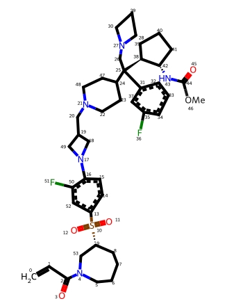 C=CC(=O)N1CCCC[C@@H](S(=O)(=O)c2ccc(N3CC(CN4CCC(C(CN5CCC5)(c5cccc(F)c5)[C@H]5CCC[C@@H]5NC(=O)OC)CC4)C3)c(F)c2)C1